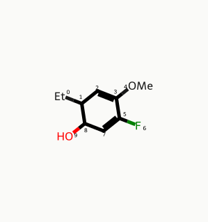 CCC1C=C(OC)C(F)=CC1O